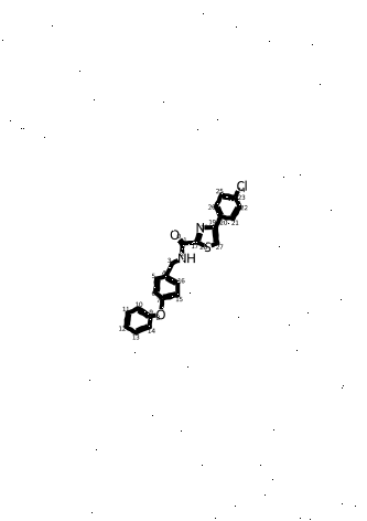 O=C(NCc1ccc(Oc2ccccc2)cc1)c1nc(-c2ccc(Cl)cc2)cs1